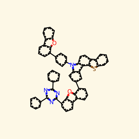 c1ccc(-c2nc(-c3ccccc3)nc(-c3cccc4c3oc3c(-c5ccc6c(c5)c5c7sc8ccccc8c7ccc5n6-c5ccc(-c6cccc7c6oc6ccccc67)cc5)cccc34)n2)cc1